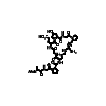 CNC(C)C(=O)NCC(=O)N1CCCC1C(=O)NC(CCCNC(=N)N)C(=O)NCC(=O)NC(CCC(=O)O)C(=O)N1CC(O)CC1C(=O)NCC(=O)N1CCCC1C(C)=O